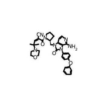 CC(C)(/C=C(/C#N)C(=O)N1CCC[C@H]1Cn1c(=O)n(-c2ccc(Oc3ccccc3)cc2)c2c(N)nccc21)N1CCOCC1